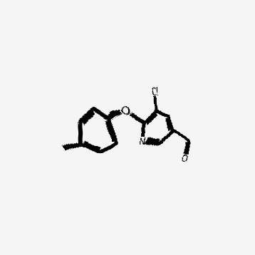 Cc1ccc(Oc2ncc(C=O)cc2Cl)cc1